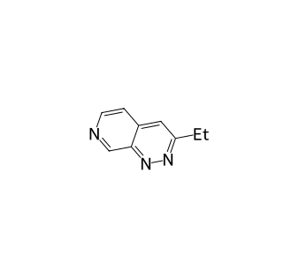 CCc1cc2ccncc2nn1